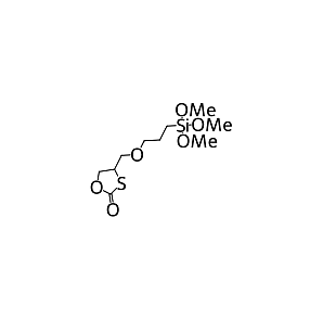 CO[Si](CCCOCC1COC(=O)S1)(OC)OC